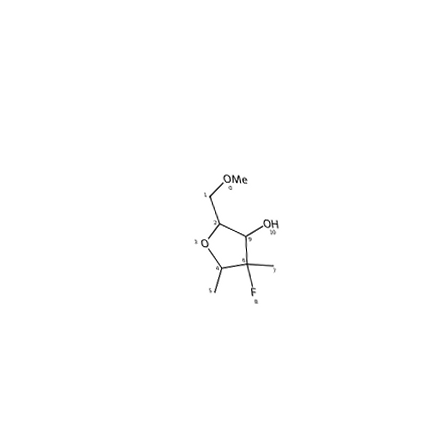 COCC1OC(C)C(C)(F)C1O